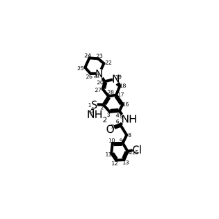 NSc1cc(NC(=O)Cc2ccccc2Cl)cc2cnc(N3CCCCC3)cc12